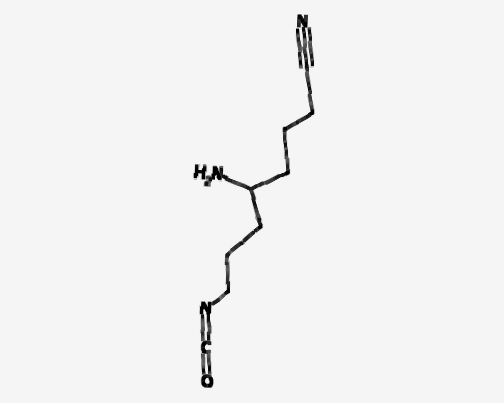 N#CCCCC(N)CCCN=C=O